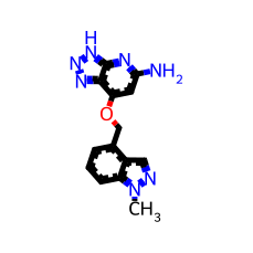 Cn1ncc2c(COc3cc(N)nc4[nH]nnc34)cccc21